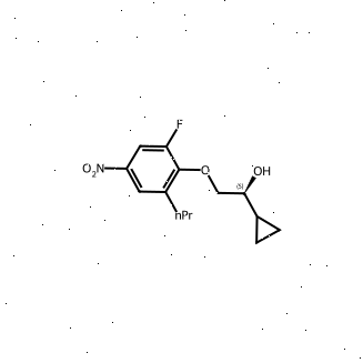 CCCc1cc([N+](=O)[O-])cc(F)c1OC[C@@H](O)C1CC1